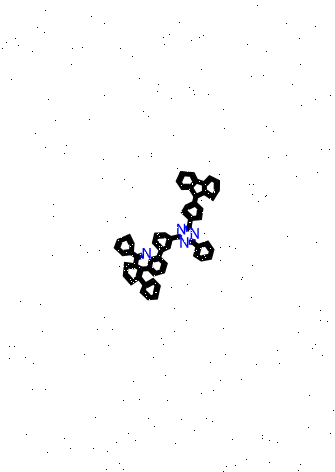 c1ccc(-c2nc(-c3ccc(C4c5ccccc5-c5ccccc54)cc3)nc(-c3cccc(-c4cccc5c4nc(-c4ccccc4)c4cccc(-c6ccccc6)c45)c3)n2)cc1